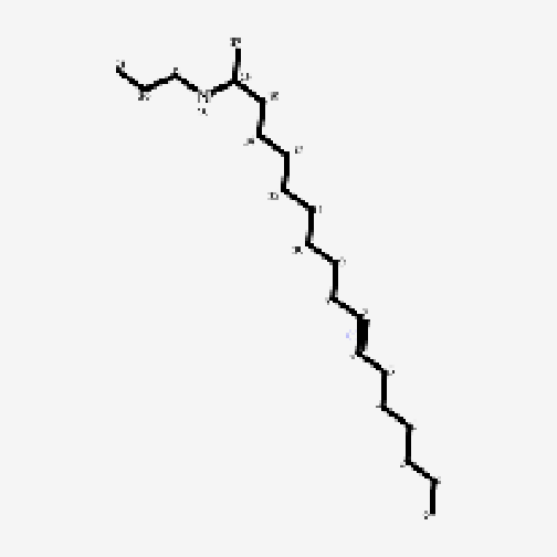 CCCCCC/C=C/CCCCCCCCC(C)[N]CCC